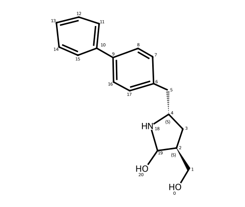 OC[C@@H]1C[C@@H](Cc2ccc(-c3ccccc3)cc2)NC1O